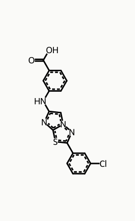 O=C(O)c1cccc(Nc2cn3nc(-c4cccc(Cl)c4)sc3n2)c1